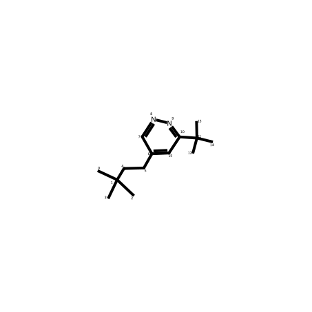 CC(C)(C)CCc1cnnc(C(C)(C)C)c1